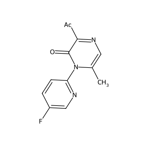 CC(=O)c1ncc(C)n(-c2ccc(F)cn2)c1=O